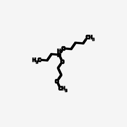 CCCCO[SiH](CCC)OCCOC